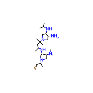 CC(C)NC1CN(C(C)(C)CC(C)NC2CN(C(C)C=S)CC2N(C)C)CC1N